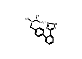 CC(C)[C@@H](C(=O)O)N(Cc1ccc(-c2ccccc2-c2nn[nH]n2)cc1)N=O